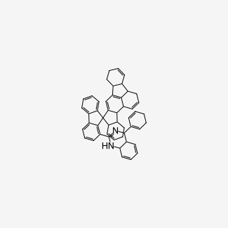 C1=CC2NC(c3cccc4c3C3(C5=CC6=C7C(C=CCC7C7C=CCCC67)C5C5CCC=CC53)c3ccccc3-4)=NC(C3=CCCC=C3)C2C=C1